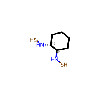 SN[C@@H]1CCCC[C@H]1NS